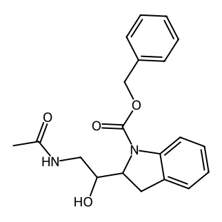 CC(=O)NCC(O)C1Cc2ccccc2N1C(=O)OCc1ccccc1